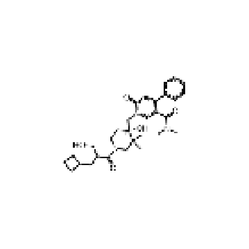 CN(C)C(=O)c1cn(C[C@@]2(O)CCN(C(=O)C(CO)CC3CCC3)CC2(C)C)c(=O)cc1-c1ccccc1